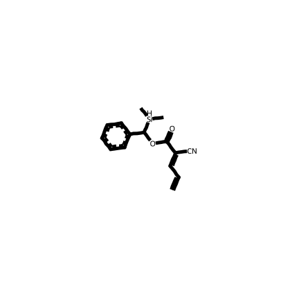 C=CC=C(C#N)C(=O)OC(c1ccccc1)[SiH](C)C